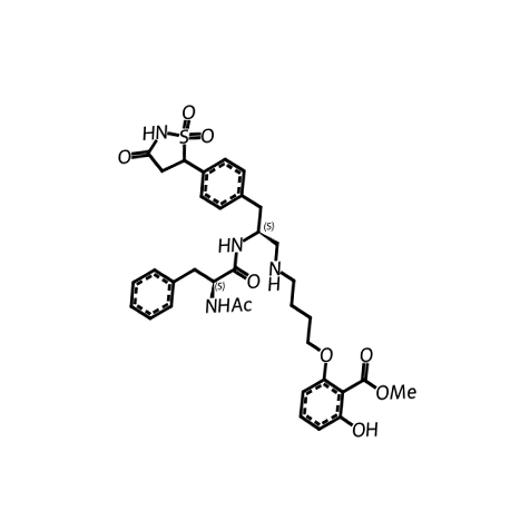 COC(=O)c1c(O)cccc1OCCCCNC[C@H](Cc1ccc(C2CC(=O)NS2(=O)=O)cc1)NC(=O)[C@H](Cc1ccccc1)NC(C)=O